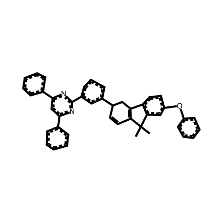 CC1(C)C2=C(CC(c3cccc(-c4nc(-c5ccccc5)cc(-c5ccccc5)n4)c3)C=C2)c2ccc(Oc3ccccc3)cc21